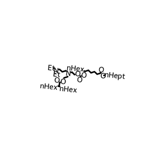 CCCCCCCOC(=O)CCCCC(CCCCCC)OC(=O)OCCN(CCCN(CC)CC)CCOC(=O)C(CCCCCC)CCCCCC